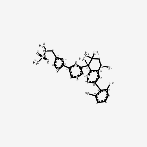 CC[C@@H]1CC(C)(C)[C@@](C)(c2cncc(-c3nc(CN(C)S(C)(=O)=O)co3)n2)c2nnc(-c3c(F)cccc3F)cc21